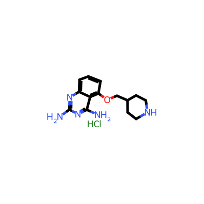 Cl.Nc1nc(N)c2c(OCC3CCNCC3)cccc2n1